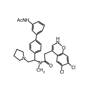 CC(=O)Nc1cccc(-c2ccc(C(CN3CCCC3)N(C)C(=O)CC3=CNOc4cc(Cl)c(Cl)cc43)cc2)c1